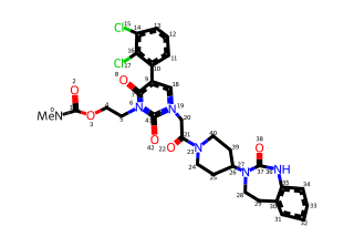 CNC(=O)OCCn1c(=O)c(-c2cccc(Cl)c2Cl)cn(CC(=O)N2CCC(N3CCc4ccccc4NC3=O)CC2)c1=O